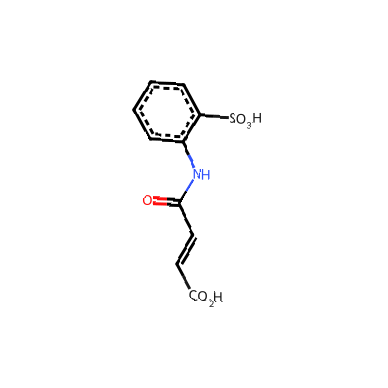 O=C(O)C=CC(=O)Nc1ccccc1S(=O)(=O)O